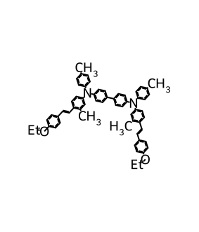 CCOc1ccc(/C=C/c2ccc(N(c3ccc(C)cc3)c3ccc(-c4ccc(N(c5ccc(C)cc5)c5ccc(/C=C/c6ccc(OCC)cc6)c(C)c5)cc4)cc3)cc2C)cc1